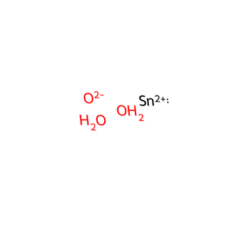 O.O.[O-2].[Sn+2]